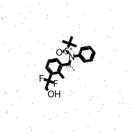 Cc1c([C@@H](C)N(c2ccccc2)[S+]([O-])C(C)(C)C)cccc1C(F)(F)CO